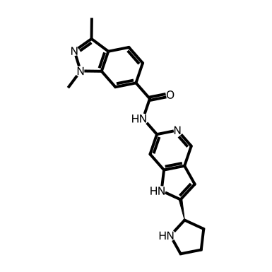 Cc1nn(C)c2cc(C(=O)Nc3cc4[nH]c([C@H]5CCCN5)cc4cn3)ccc12